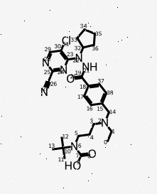 CCN(CCCN(C(=O)O)C(C)(C)C)Cc1ccc(C(=O)NN(c2nc(C#N)ncc2Cl)C2CCCC2)cc1